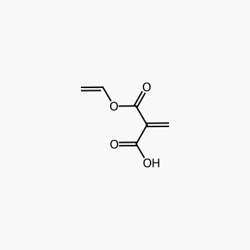 C=COC(=O)C(=C)C(=O)O